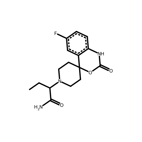 CCC(C(N)=O)N1CCC2(CC1)OC(=O)Nc1ccc(F)cc12